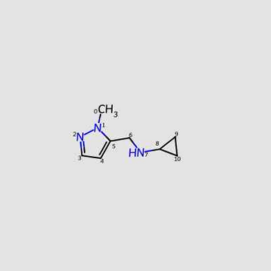 Cn1nccc1CNC1CC1